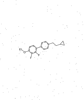 CCOc1ccc(-c2ccc(CCC3CC3)cc2)c(F)c1F